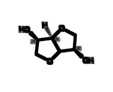 O[C@@H]1CO[C@H]2C1OC[C@H]2O